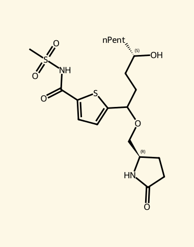 CCCCC[C@H](O)CCC(OC[C@H]1CCC(=O)N1)c1ccc(C(=O)NS(C)(=O)=O)s1